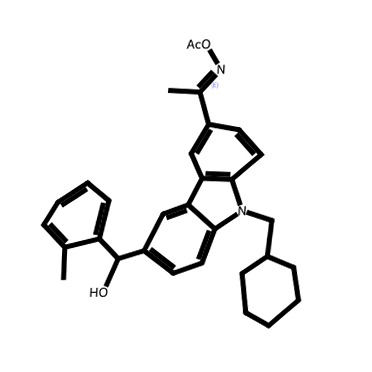 CC(=O)O/N=C(\C)c1ccc2c(c1)c1cc(C(O)c3ccccc3C)ccc1n2CC1CCCCC1